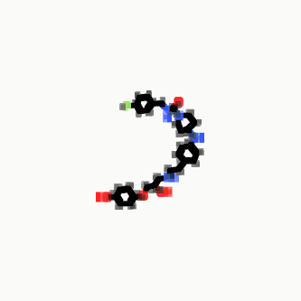 O=C(NCc1ccc(F)cc1)N1CCC(Nc2ccc(CCNC[C@H](O)COc3ccc(O)cc3)cc2)CC1